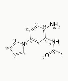 CC(=O)Nc1cc(-n2cccc2)ccc1N